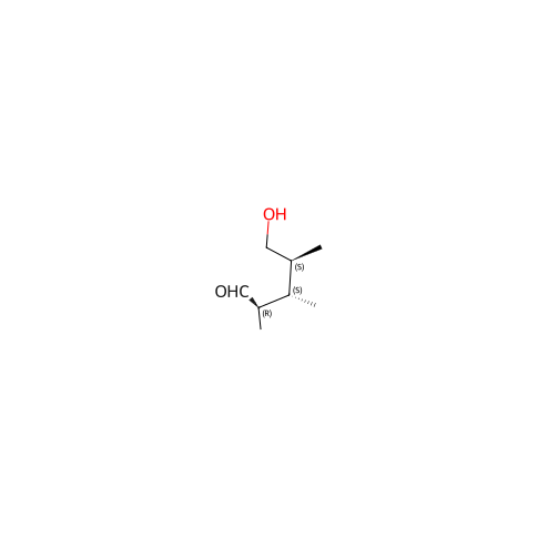 C[C@@H]([C@H](C)CO)[C@@H](C)C=O